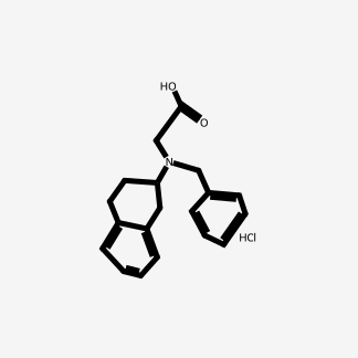 Cl.O=C(O)CN(Cc1ccccc1)C1CCc2ccccc2C1